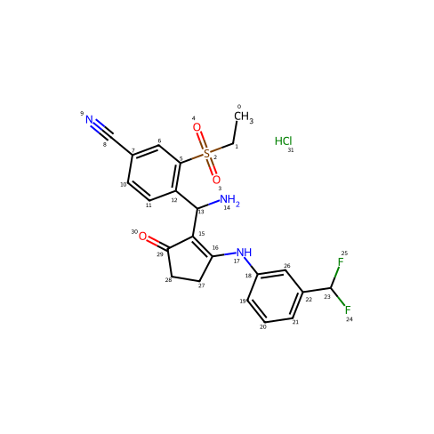 CCS(=O)(=O)c1cc(C#N)ccc1C(N)C1=C(Nc2cccc(C(F)F)c2)CCC1=O.Cl